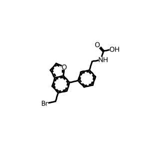 O=C(O)NCc1cccc(-c2cc(CBr)cc3ccoc23)c1